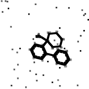 CCCC1(c2ccccc2-c2ccccc2)CCCCC1